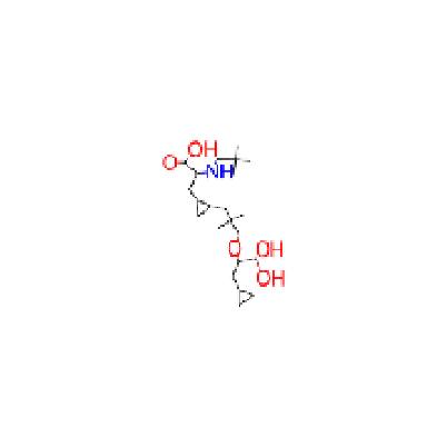 CC(C)(C)CNC(CC1CC1CC(C)(C)COC(CC1CC1)C(O)O)C(=O)O